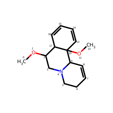 COC1CN2CCC=CC2C2(OC)C=CC=CC12